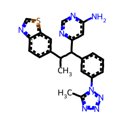 Cc1nnnn1-c1cccc(C(c2cc(N)ncn2)C(C)c2ccc3ncsc3c2)c1